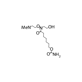 CNCCON(CCO)C(=O)CCCCCCOC(N)=O